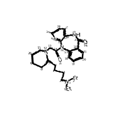 CCN(CC)CCCCC1CCCCN1CC(=O)N1c2ccccc2C(=O)Nc2cccnc21